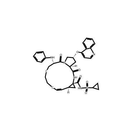 O=C1N[C@]2(C(=O)NS(=O)(=O)C3CC3)C[C@H]2/C=C\CCCCC[C@H](Nc2ccccc2)C(=O)N2C[C@H](Oc3ccnc4ccccc34)C[C@@H]12